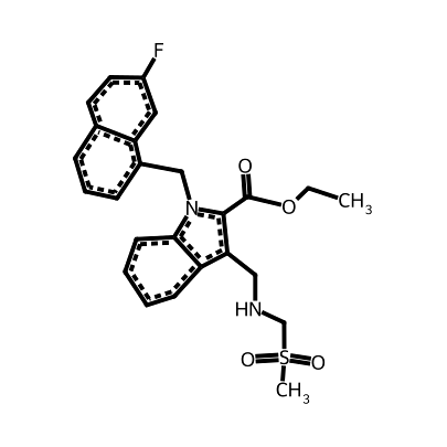 CCOC(=O)c1c(CNCS(C)(=O)=O)c2ccccc2n1Cc1cccc2ccc(F)cc12